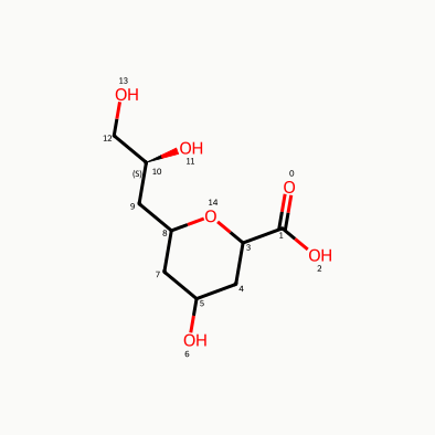 O=C(O)C1CC(O)CC(C[C@H](O)CO)O1